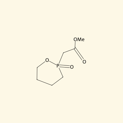 COC(=O)CP1(=O)CCCCO1